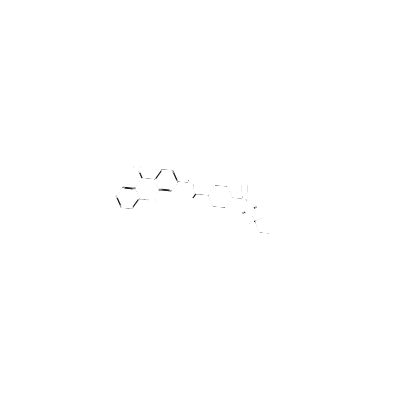 CCC(C)(C)S(=O)(=O)NC1CCC(C(=O)Nc2ccc3c(=O)c4ccccc4oc3c2)CC1